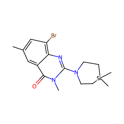 Cc1cc(Br)c2nc(N3CC[Si](C)(C)CC3)n(C)c(=O)c2c1